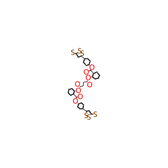 O=C(CCC(=O)Oc1ccccc1C(=O)Oc1ccc(-c2cc(=S)ss2)cc1)Oc1ccccc1C(=O)Oc1ccc(-c2cc(=S)ss2)cc1